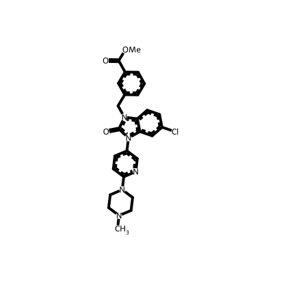 COC(=O)c1cccc(Cn2c(=O)n(-c3ccc(N4CCN(C)CC4)nc3)c3cc(Cl)ccc32)c1